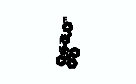 Fc1ccc(CC2=CC(c3cn(C(c4ccccc4)(c4ccccc4)c4ccccc4)cn3)=N[N]2)cc1